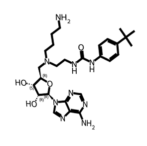 CC(C)(C)c1ccc(NC(=O)NCCN(CCCCN)C[C@H]2O[C@@H](n3cnc4c(N)ncnc43)[C@H](O)[C@@H]2O)cc1